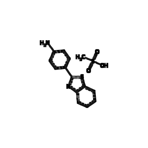 CS(=O)(=O)O.Nc1ccc(-c2nc3ccccc3s2)cc1